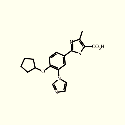 Cc1nc(-c2ccc(OC3CCCC3)c(-n3ccnc3)c2)sc1C(=O)O